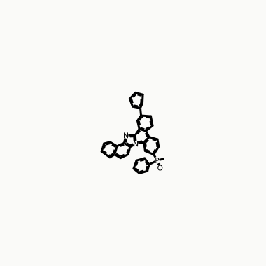 CP(=O)(c1ccccc1)c1ccc2c3ccc(-c4ccccc4)cc3c3nc4c5ccccc5ccc4n3c2c1